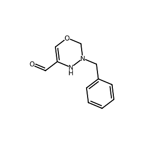 O=CC1=COCN(Cc2ccccc2)N1